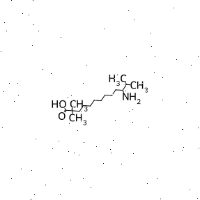 CC(C)C(N)CCCCCCCCC(C)(C)C(=O)O